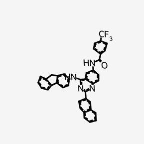 O=C(Nc1ccc2nc(-c3ccc4ccccc4c3)nc(Nc3ccc4c(c3)Cc3ccccc3-4)c2c1)c1ccc(C(F)(F)F)cc1